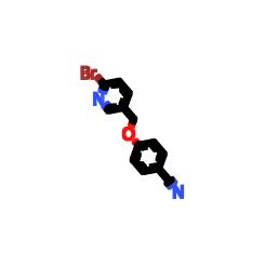 N#Cc1ccc(OCc2ccc(Br)nc2)cc1